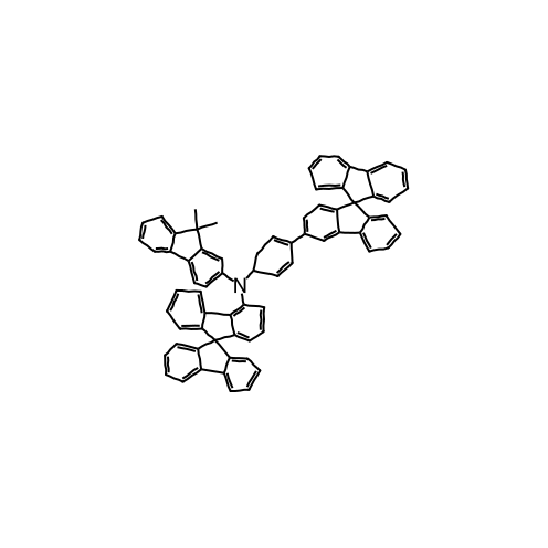 CC1(C)c2ccccc2-c2ccc(N(c3cccc4c3-c3ccccc3C43c4ccccc4-c4ccccc43)C3C=CC(c4ccc5c(c4)-c4ccccc4C54c5ccccc5-c5ccccc54)=CC3)cc21